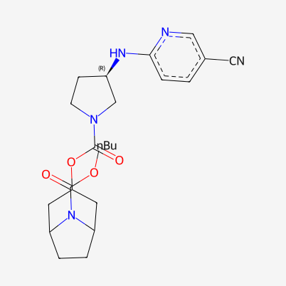 CCCCOC(=O)N1C2CCC1CC(OC(=O)N1CC[C@@H](Nc3ccc(C#N)cn3)C1)C2